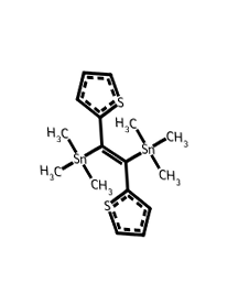 [CH3][Sn]([CH3])([CH3])/[C](=[C](\c1cccs1)[Sn]([CH3])([CH3])[CH3])c1cccs1